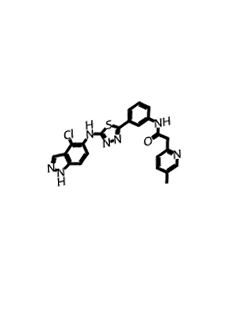 Cc1ccc(CC(=O)Nc2cccc(-c3nnc(Nc4ccc5[nH]ncc5c4Cl)s3)c2)nc1